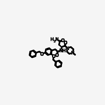 CN1CCN(C(=O)[C@H](CC(N)=O)NC(=O)Cc2ccc(OCc3ccccc3)cc2OCc2ccccc2)CC1